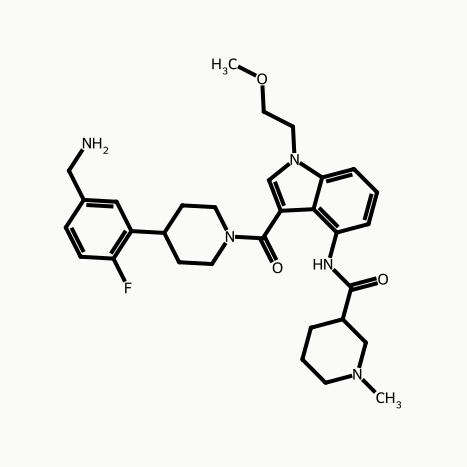 COCCn1cc(C(=O)N2CCC(c3cc(CN)ccc3F)CC2)c2c(NC(=O)C3CCCN(C)C3)cccc21